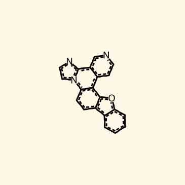 c1ccc2c(c1)oc1c2ccc2c1c1ccncc1c1nccn21